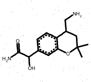 CC1(C)CC(CN)c2ccc(C(O)C(N)=O)cc2O1